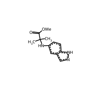 COC(=O)C(C)(C)Nc1ccc2[nH]ncc2c1